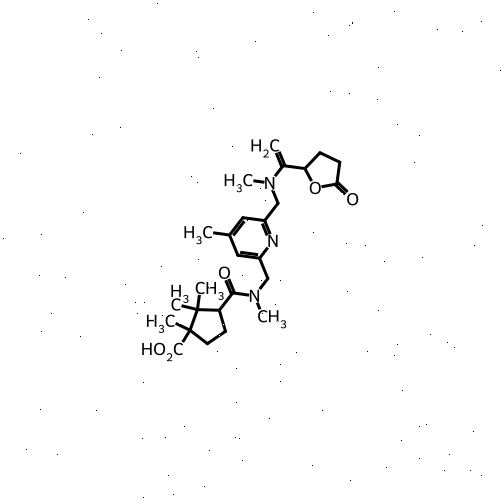 C=C(C1CCC(=O)O1)N(C)Cc1cc(C)cc(CN(C)C(=O)C2CCC(C)(C(=O)O)C2(C)C)n1